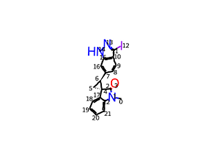 CN1C(=O)[C@@]2(C[C@H]2c2ccc3c(I)n[nH]c3c2)c2ccccc21